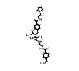 CC(=O)N(Cc1ccc(C(=O)NCCN2CCCC2)cc1)C(C)(C)CNCCNC(=O)c1ccc(CN)cc1